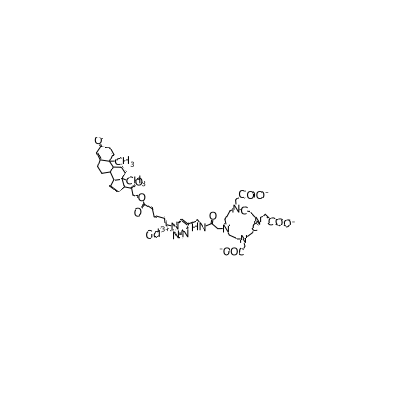 CC12CCC(=O)C=C1CCC1C2CCC2(C)C(C(=O)COC(=O)CCCCn3cc(CNC(=O)CN4CCN(CC(=O)[O-])CCN(CC(=O)[O-])CCN(CC(=O)[O-])CC4)nn3)CCC12.[Gd+3]